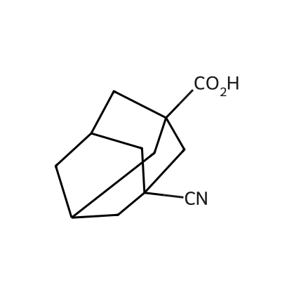 N#CC12CC3CC(C1)CC(C(=O)O)(C3)C2